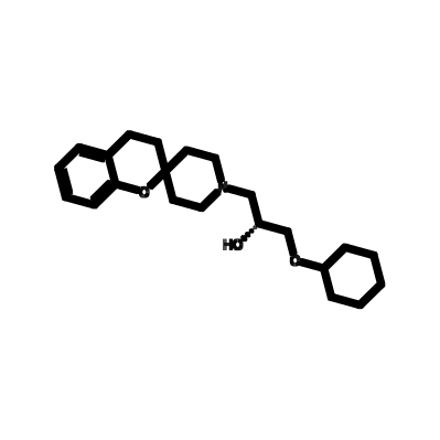 O[C@@H](COC1CCCCC1)CN1CCC2(CCc3ccccc3O2)CC1